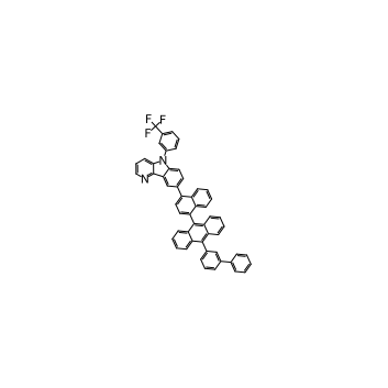 FC(F)(F)c1cccc(-n2c3ccc(-c4ccc(-c5c6ccccc6c(-c6cccc(-c7ccccc7)c6)c6ccccc56)c5ccccc45)cc3c3ncccc32)c1